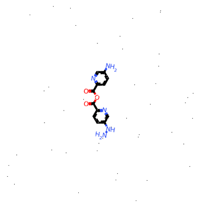 NNc1ccc(C(=O)OC(=O)c2ccc(N)cn2)nc1